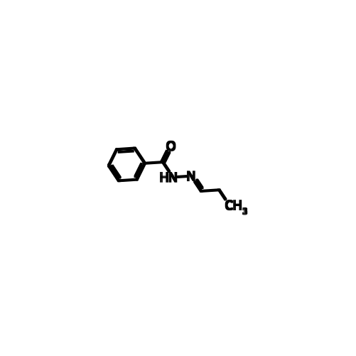 CCC=NNC(=O)c1ccccc1